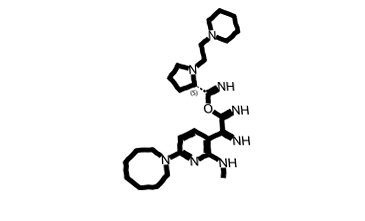 CNc1nc(N2CCCCCCC2)ccc1C(=N)C(=N)OC(=N)[C@@H]1CCCN1CCN1CCCCC1